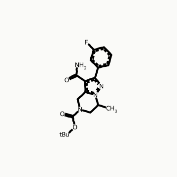 CC1CN(C(=O)OC(C)(C)C)Cc2c(C(N)=O)c(-c3cccc(F)c3)nn21